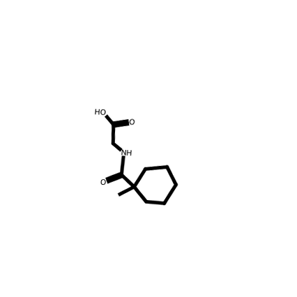 CC1(C(=O)NCC(=O)O)CCCCC1